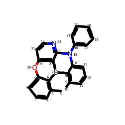 Cc1cccc2c1B1c3c(C)cccc3N(c3ccccc3)c3nccc(c31)O2